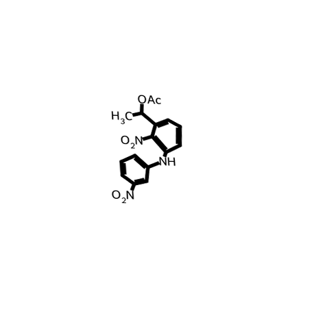 CC(=O)OC(C)c1cccc(Nc2cccc([N+](=O)[O-])c2)c1[N+](=O)[O-]